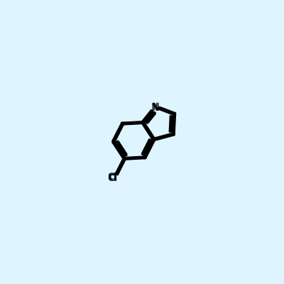 ClC1=CCC2=NC=CC2=C1